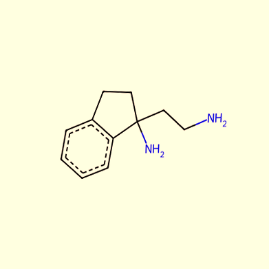 NCCC1(N)CCc2ccccc21